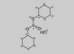 Cl.[O]=[V]([O]C1CCCCC1)[O]C1CCCCC1